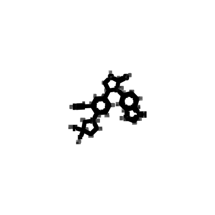 N#Cc1cc(C2COC(=O)N2c2ccc3[nH]cnc3c2)ccc1N1CCC(F)(F)C1